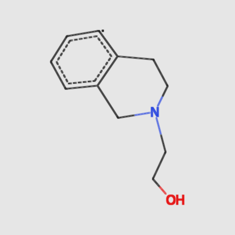 OCCN1CCc2[c]cccc2C1